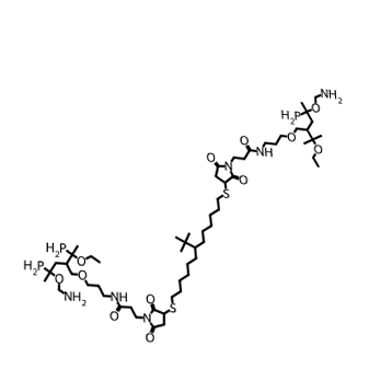 CCOC(C)(C)C(COCCCNC(=O)CCN1C(=O)CC(SCCCCCCC(CCCCCCSC2CC(=O)N(CCC(=O)NCCCOCC(CC(C)(P)OCN)C(C)(P)OCC)C2=O)C(C)(C)C)C1=O)CC(C)(P)OCN